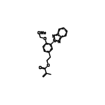 C=C(C)C(=O)OCCc1ccc(OCOC)c(-n2nc3ccccc3n2)c1